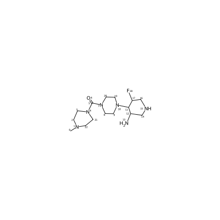 CN1CCN(C(=O)N2CCN(C3C(N)CNCC3F)CC2)CC1